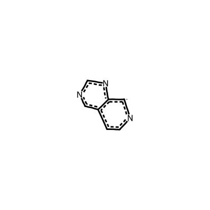 [c]1nccc2cncnc12